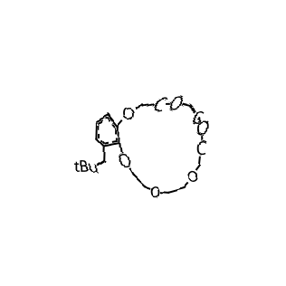 CC(C)(C)Cc1cccc2c1OCCOCCOCCOCCOCCO2